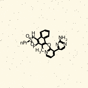 CCCS(=O)(=O)Nc1c(F)c(C)c(Oc2ncccc2-c2ccnc(N)n2)c2ccccc12